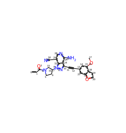 C=CC(=O)N1CC[C@H](n2nc(C#Cc3cc(OC)c4ccoc4c3)c3c(N)ncc(C#N)c32)C1